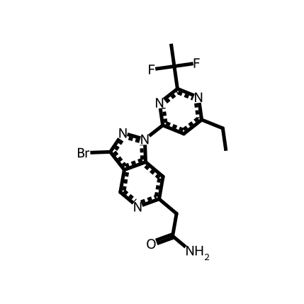 CCc1cc(-n2nc(Br)c3cnc(CC(N)=O)cc32)nc(C(C)(F)F)n1